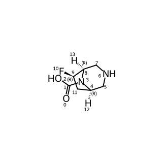 O=C(O)N1[C@H]2CNC[C@@H]1[C@H](F)C2